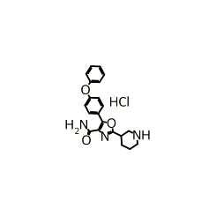 Cl.NC(=O)c1nc(C2CCCNC2)oc1-c1ccc(Oc2ccccc2)cc1